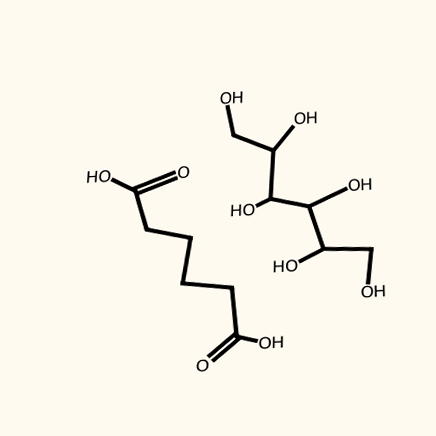 O=C(O)CCCCC(=O)O.OCC(O)C(O)C(O)C(O)CO